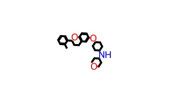 Cc1ccccc1C1CCc2cc(OC3CCC(NC4CCOCC4)CC3)ccc2O1